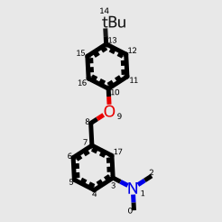 CN(C)c1cccc(COc2ccc(C(C)(C)C)cc2)c1